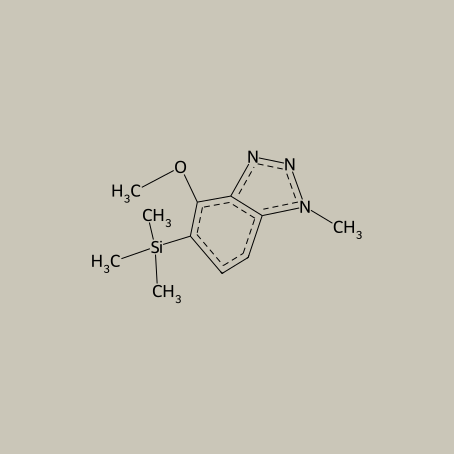 COc1c([Si](C)(C)C)ccc2c1nnn2C